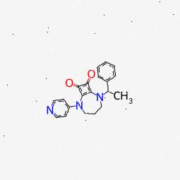 CC(c1ccccc1)N1CCCN(c2ccncc2)c2c1c(=O)c2=O